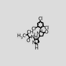 C=C(C)C(=O)Nc1n[nH]cc1C1=NN(c2c(Cl)cc(Cl)cc2Cl)C(=O)C1